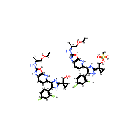 CCOC[C@H](C)Nc1nc2ccc(-c3nc(C4(CO)CC4)[nH]c3-c3ccc(F)cc3F)nc2o1.CCOC[C@H](C)Nc1nc2ccc(-c3nc(C4(COS(C)(=O)=O)CC4)[nH]c3-c3ccc(F)cc3F)nc2o1